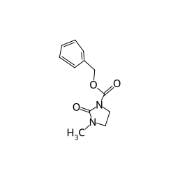 CN1CCN(C(=O)OCc2ccccc2)C1=O